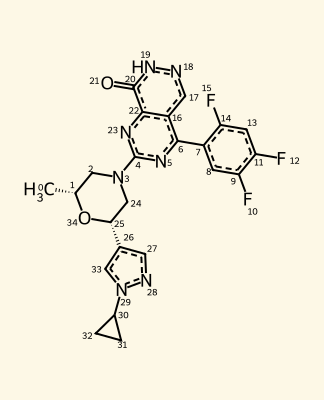 C[C@@H]1CN(c2nc(-c3cc(F)c(F)cc3F)c3cn[nH]c(=O)c3n2)C[C@H](c2cnn(C3CC3)c2)O1